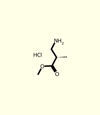 COC(=O)[C@@H](C)CN.Cl